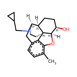 Cc1ccc2c3c1O[C@@H]1[C@H](O)CC[C@@H]4[C@H](C2)N(CC2CC2)CC[C@]341